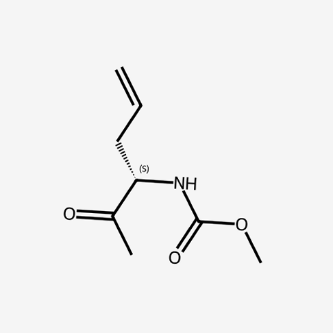 C=CC[C@H](NC(=O)OC)C(C)=O